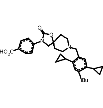 CCC(C)c1cc(C2CC2)c(CN2CCC3(CC2)CN(c2ccc(C(=O)O)cc2)C(=O)O3)cc1C1CC1